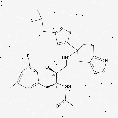 CC(=O)N[C@@H](Cc1cc(F)cc(F)c1)[C@@H](O)CNC1(c2cc(CC(C)(C)C)cs2)CCc2n[nH]cc2C1